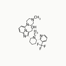 CN1CCN(c2cccc3nc([C@H]4CCC[C@@H](c5ncccc5C(F)(F)F)N4C)c(CO)n23)CC1